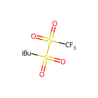 CCC(C)S(=O)(=O)S(=O)(=O)C(F)(F)F